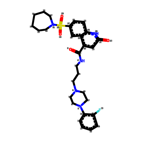 O=C(NCCCN1CCN(c2ccccc2F)CC1)c1cc(=O)[nH]c2ccc(S(=O)(=O)N3CCCCCC3)cc12